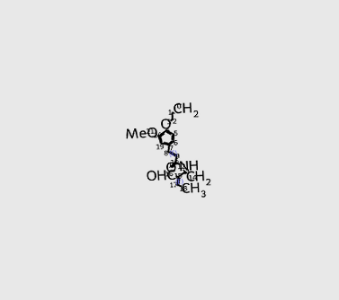 C=CCOc1ccc(/C=C/C(=O)NC(=C)/C(C=O)=C\C)cc1OC